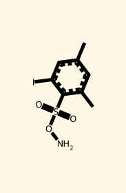 Cc1cc(C)c(S(=O)(=O)ON)c(I)c1